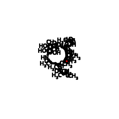 COC(=O)CC(C)(C)C(=O)OC(C)[C@H]1/C=C/C=C(/C)C(=O)Nc2cc(O)c3c4c(c(C)c(O)c3c2O)O[C@](C)(O/C=C/[C@H](O[C@H]2C[C@@H]3OCO[C@@H]3[C@@H](C)O2)[C@@H](C)[C@@H](OC(C)=O)[C@H](C)[C@H](O)[C@H](C)C1)C4=O